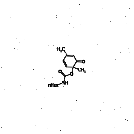 CCCCCCNC(=O)OC1(C)C=CC(C)=CC1=O